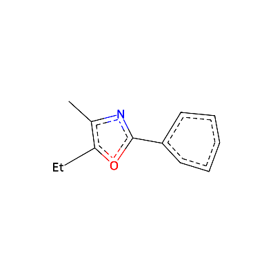 CCc1oc(-c2ccccc2)nc1C